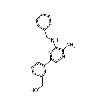 Nc1ncc(-c2cccc(CO)c2)nc1NCc1ccccc1